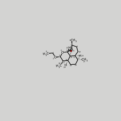 CCO[C@H]1O[C@@H]2O[C@@]3(C)CC[C@H]4[C@H](C)CC[C@@H]([C@H]1C)[C@@]24OO3